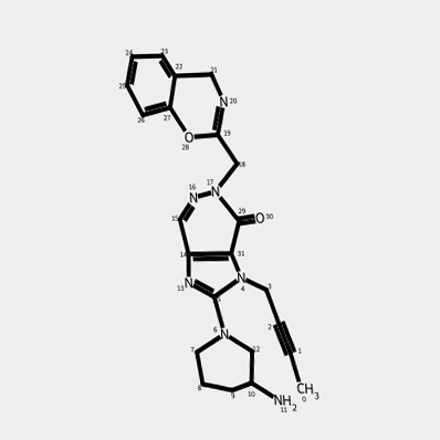 CC#CCn1c(N2CCCC(N)C2)nc2cnn(CC3=NCc4ccccc4O3)c(=O)c21